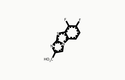 O=C(O)c1cn2c(n1)sc1c(F)c(F)ccc12